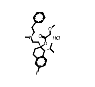 COCC(=O)O[C@@]1(CCN(C)CCc2ccccc2)CCc2cc(F)ccc2[C@H]1C(C)C.Cl